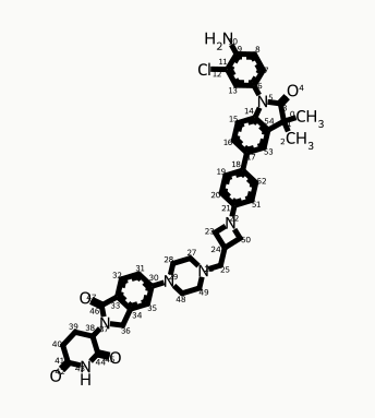 CC1(C)C(=O)N(c2ccc(N)c(Cl)c2)c2ccc(-c3ccc(N4CC(CN5CCN(c6ccc7c(c6)CN(C6CCC(=O)NC6=O)C7=O)CC5)C4)cc3)cc21